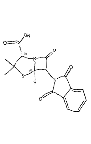 CC1(C)S[C@@H]2C(N3C(=O)c4ccccc4C3=O)C(=O)N2[C@H]1C(=O)O